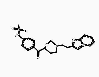 CS(=O)(=O)Nc1ccc(C(=O)C2CCN(CCc3cn4ccccc4n3)CC2)cc1